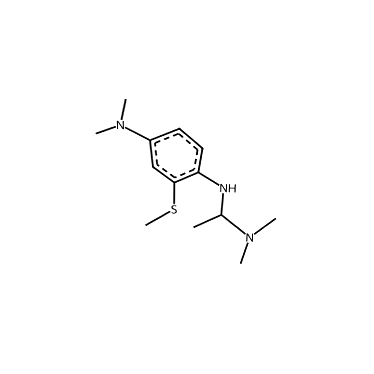 CSc1cc(N(C)C)ccc1NC(C)N(C)C